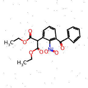 CCOC(=O)C(C(=O)OCC)c1cccc(C(=O)c2ccccc2)c1[N+](=O)[O-]